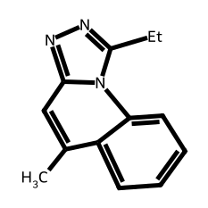 CCc1nnc2cc(C)c3ccccc3n12